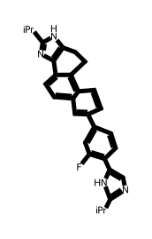 CC(C)c1ncc(-c2ccc(-c3ccc4c5c(ccc4c3)-c3nc(C(C)C)[nH]c3CC5)cc2F)[nH]1